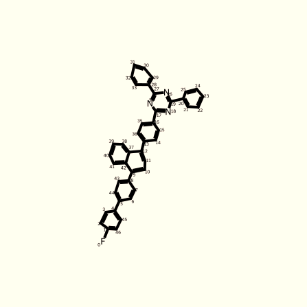 Fc1ccc(-c2ccc(-c3ccc(-c4ccc(-c5nc(-c6ccccc6)nc(-c6ccccc6)n5)cc4)c4ccccc34)cc2)cc1